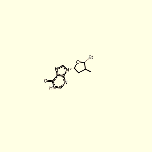 CC[C@H]1O[C@@H](n2cnc3c(=O)[nH]cnc32)CC1C